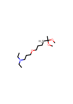 CCN(CC)CCCOCCC[SiH2]C(C)(OC)OC